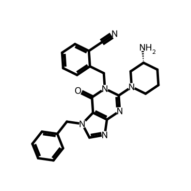 N#Cc1ccccc1Cn1c(N2CCC[C@@H](N)C2)nc2ncn(Cc3ccccc3)c2c1=O